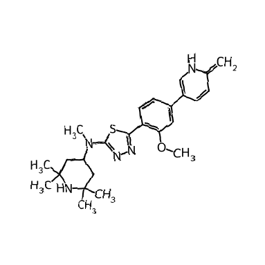 C=C1C=CC(c2ccc(-c3nnc(N(C)C4CC(C)(C)NC(C)(C)C4)s3)c(OC)c2)=CN1